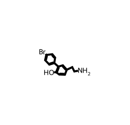 NCCc1ccc(O)c(-c2ccc(Br)cc2)c1